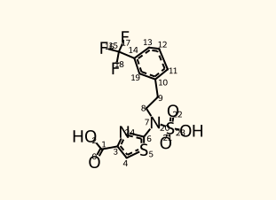 O=C(O)c1csc(N(CCc2cccc(C(F)(F)F)c2)S(=O)(=O)O)n1